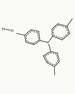 CCCl.Cc1ccc(P(c2ccc(C)cc2)c2ccc(C)cc2)cc1